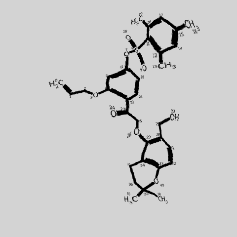 C=CCOc1cc(OS(=O)(=O)c2c(C)cc(C)cc2C)ccc1C(=O)COc1c(CO)ccc2c1CCC(C)(C)O2